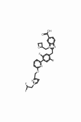 O=C(O)c1ccc2nc(Cc3cc(F)c(-c4cccc(OCc5ccn(CC(F)F)n5)n4)cc3F)n(CC3CCO3)c2c1